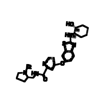 CCN1CCCC1CNC(=O)c1cc(Oc2ccc3nc(N[C@@H]4CCCC[C@H]4O)sc3c2)ccn1